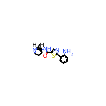 C[C@H]1[C@H](NC(=O)c2cnc(-c3ccccc3N)s2)C2CCN1CC2